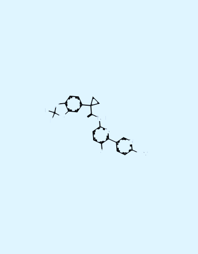 COc1ccc(-c2nc(NC(=O)C3(c4ccc5c(c4)OC(F)(F)O5)CC3)ccc2C)cn1